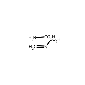 C=NC(=O)O.NC(=O)O